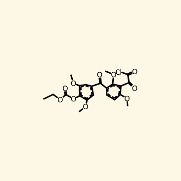 CCOC(=O)Oc1c(OC)cc(C(=O)c2ccc(OC)c(C(=O)C(=O)Cl)c2OC)cc1OC